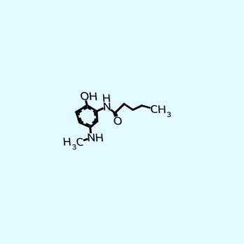 CCCCC(=O)Nc1cc(NC)ccc1O